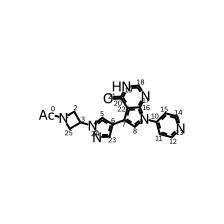 CC(=O)N1CC(n2cc(-c3cn(-c4ccncc4)c4nc[nH]c(=O)c34)cn2)C1